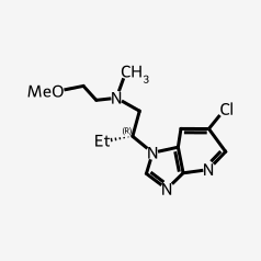 CC[C@H](CN(C)CCOC)n1cnc2ncc(Cl)cc21